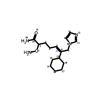 NOC(CC/C=C(/Cn1ccnc1)C1CCCCC1)C(N)=O